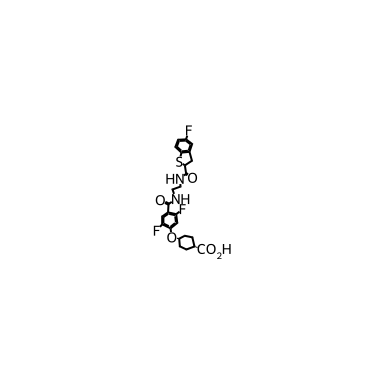 O=C(NCCNC(=O)C1Cc2cc(F)ccc2S1)c1cc(F)c(O[C@H]2CC[C@@H](C(=O)O)CC2)cc1F